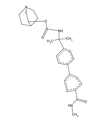 CNC(=O)c1ccc(-c2ccc(C(C)(C)NC(=O)OC3CN4CCC3CC4)cc2)cc1